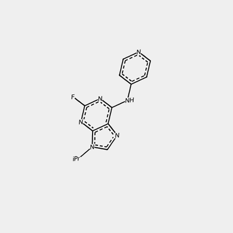 CC(C)n1cnc2c(Nc3ccncc3)nc(F)nc21